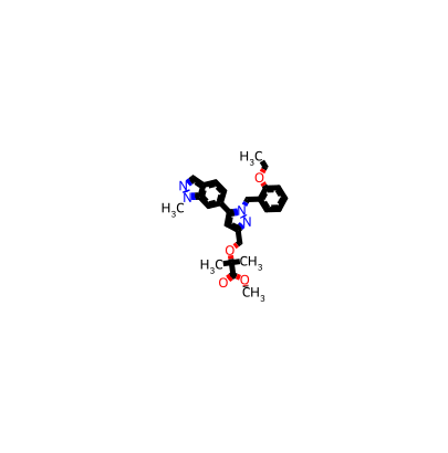 CCOc1ccccc1Cn1nc(COC(C)(C)C(=O)OC)cc1-c1ccc2cnn(C)c2c1